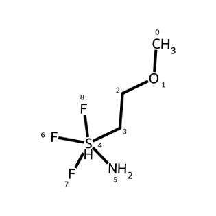 COCC[SH](N)(F)(F)F